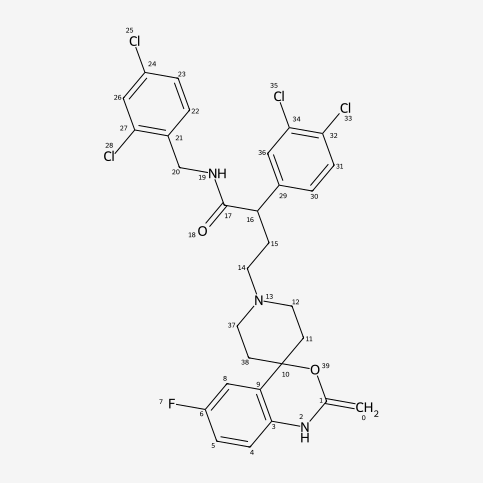 C=C1Nc2ccc(F)cc2C2(CCN(CCC(C(=O)NCc3ccc(Cl)cc3Cl)c3ccc(Cl)c(Cl)c3)CC2)O1